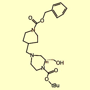 CC(C)(C)OC(=O)N1CCN(CC2CCN(C(=O)OCc3ccccc3)CC2)C[C@@H]1CO